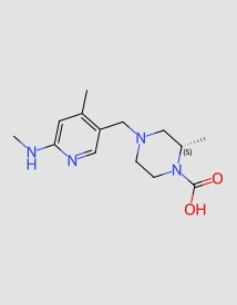 CNc1cc(C)c(CN2CCN(C(=O)O)[C@@H](C)C2)cn1